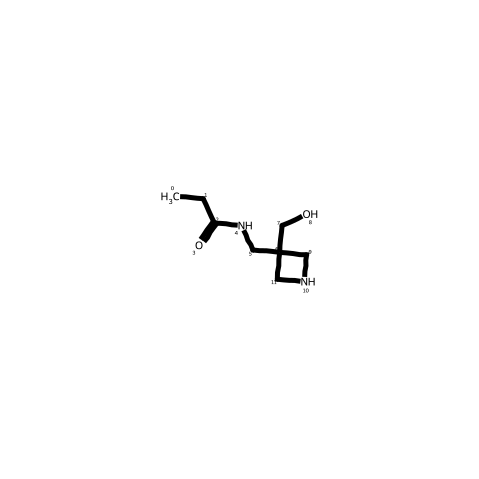 CCC(=O)NCC1(CO)CNC1